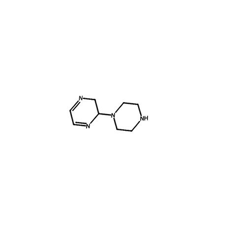 C1=NCC(N2CCNCC2)N=C1